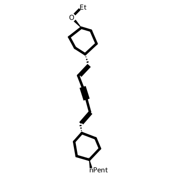 CCCCC[C@H]1CC[C@H](C=CC#CC=C[C@H]2CC[C@H](OCC)CC2)CC1